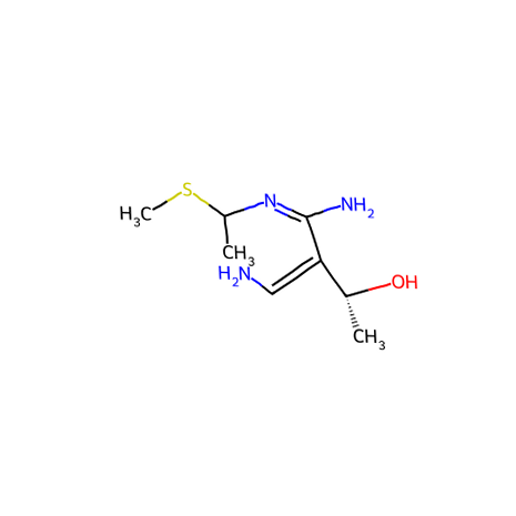 CSC(C)/N=C(N)\C(=C/N)[C@@H](C)O